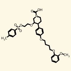 COc1ccccc1OCCCCOc1ccc(C2CCN(C(=O)O)CC2OCCOS(=O)(=O)c2ccc(C)cc2)cc1